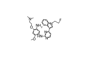 COc1cc(OCCN(C)C)c(N)cc1Nc1nccc(-c2cn(CCF)c3ccccc23)n1